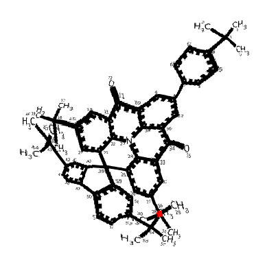 CC(C)(C)c1ccc(-c2cc3c(=O)c4cc(C(C)(C)C)cc5c4n4c6c(cc(C(C)(C)C)cc6c(=O)c(c2)c34)C52c3cc(C(C)(C)C)ccc3-c3ccc(C(C)(C)C)cc32)cc1